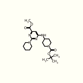 COC(=O)c1cc(NC2CCN(C(=O)OC(C)(C)C)CC2)nc(N2CCCCC2)n1